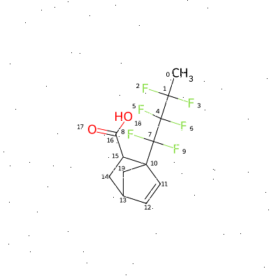 CC(F)(F)C(F)(F)C(F)(F)C12C=CC(CC1C(=O)O)C2